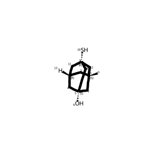 C[C@]12C[C@@H]3C[C@](O)(C1)C[C@@](S)(C3)C2